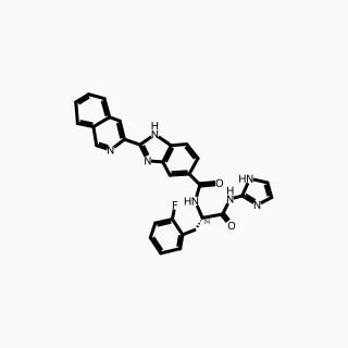 O=C(N[C@@H](Cc1ccccc1F)C(=O)Nc1ncc[nH]1)c1ccc2[nH]c(-c3cc4ccccc4cn3)nc2c1